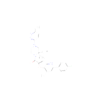 Cc1ccc(N2CCN(C(=O)c3cc4nc(-c5ccc(Cl)cc5)cc(C(C)(C)C)c4o3)C(C)(C)C2)nn1